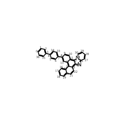 c1ccc(-c2ccc(-c3ccc4c(c3)c3c5ccccc5ccc3c3nc5ccccn5c43)cc2)cc1